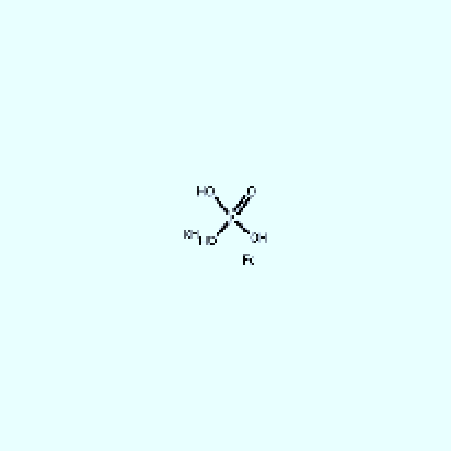 O=P(O)(O)O.[Fe].[KH]